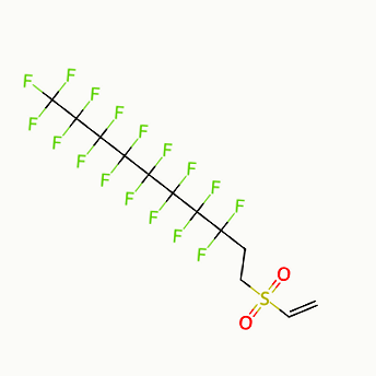 C=CS(=O)(=O)CCC(F)(F)C(F)(F)C(F)(F)C(F)(F)C(F)(F)C(F)(F)C(F)(F)C(F)(F)F